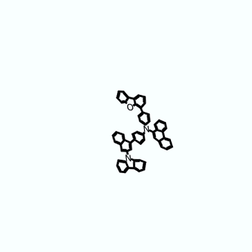 c1ccc2c(-c3ccc(N(c4ccc(-c5cccc6c5oc5ccccc56)cc4)c4cc5ccccc5c5ccccc45)cc3)cc(-n3c4ccccc4c4ccccc43)cc2c1